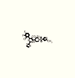 CCOC(=O)C1=C(C2CCN(S(=O)(=O)c3cnn(C)c3)CC2)NC(c2nccs2)=NC1c1ccc(F)c(F)c1Cl